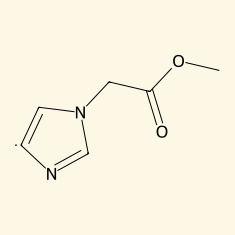 COC(=O)Cn1c[c]nc1